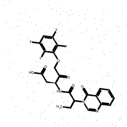 CCC(C(=O)N[C@@H](CC(=O)O)C(=O)COc1c(F)c(F)cc(F)c1F)n1cnc2ccccc2c1=O